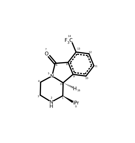 CC(C)[C@H]1NCCN2C(=O)c3c(cccc3C(F)(F)F)[C@@H]12